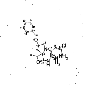 CCC12CC(OCc3ccccc3)CN1C(/C=C(\N)Cl)=C(N)NC2=O